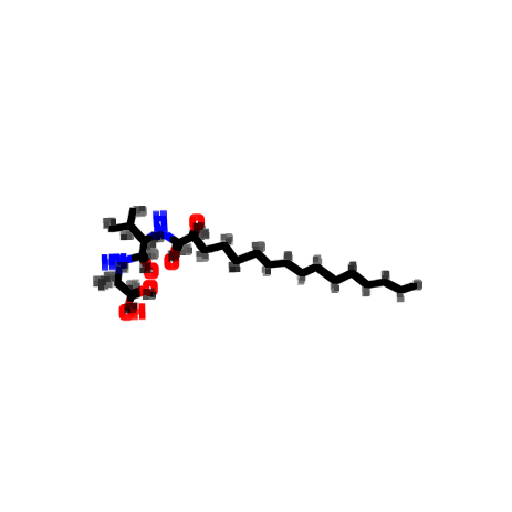 CCCCCCCCCCCCCCC(=O)C(=O)NC(C(=O)N[C@@H](C)C(=O)O)C(C)C